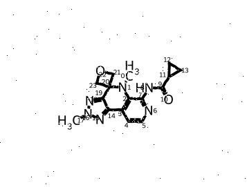 CN1c2c(ccnc2NC(=O)C2CC2)-c2nn(C)nc2C12COC2